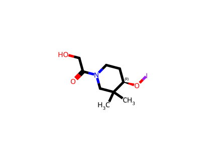 CC1(C)CN(C(=O)CO)CC[C@H]1OI